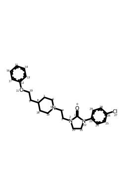 O=C1N(CCN2CCC(CCOc3ccccc3)CC2)CCN1c1ccc(Cl)cc1